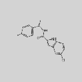 Cc1ccc(C(C)NC(=O)c2cc3cc(Cl)ccc3[nH]2)cc1